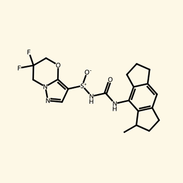 CC1CCc2cc3c(c(NC(=O)N[S+]([O-])c4cnn5c4OCC(F)(F)C5)c21)CCC3